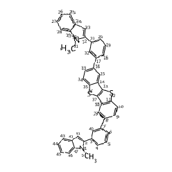 Cn1c(-c2cccc(-c3ccc4sc5c6cc(-c7cccc(-c8cc9ccccc9n8C)c7)ccc6sc5c4c3)c2)cc2ccccc21